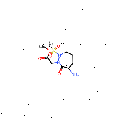 CC(C)(C)OC(=O)CN1C(=O)C(N)CCCN1S(C)(=O)=O